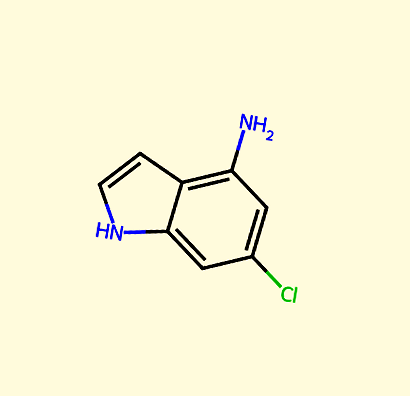 Nc1cc(Cl)cc2[nH]ccc12